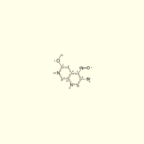 COc1cc2c(N=O)c(Br)cnc2cn1